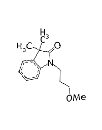 COCCCN1C(=O)C(C)(C)c2ccccc21